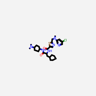 CN(Cc1ncc(C(=O)NC(CC2CCCCC2)C(=O)NC2CCC(N(C)C)CC2)s1)c1cncc(Cl)c1